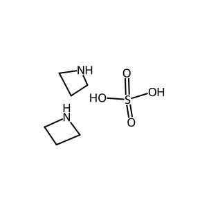 C1CNC1.C1CNC1.O=S(=O)(O)O